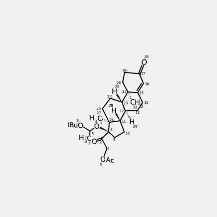 CC(=O)OCC(=O)[C@@]1(OC(C)OCC(C)C)CC[C@H]2[C@@H]3CCC4=CC(=O)CC[C@]4(C)[C@H]3CC[C@@]21C